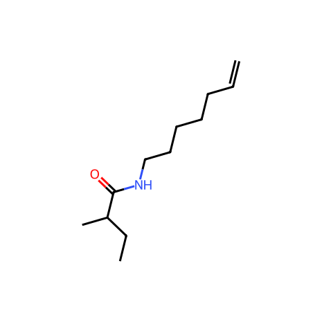 C=CCCCCCNC(=O)C(C)CC